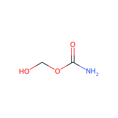 NC(=O)OCO